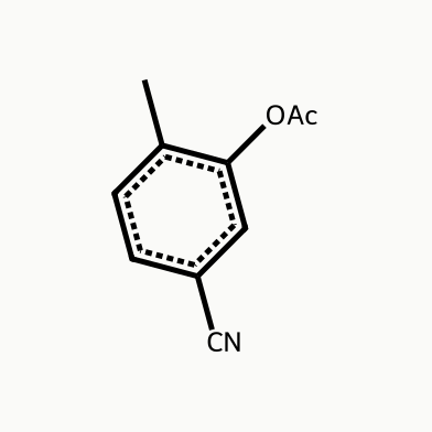 CC(=O)Oc1cc(C#N)ccc1C